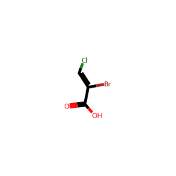 O=C(O)C(Br)=CCl